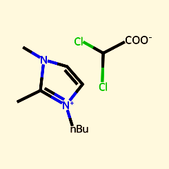 CCCC[n+]1ccn(C)c1C.O=C([O-])C(Cl)Cl